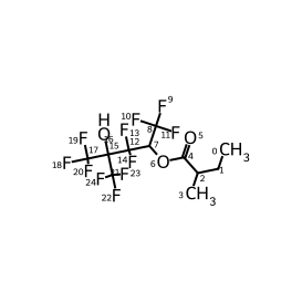 CCC(C)C(=O)OC(C(F)(F)F)C(F)(F)C(O)(C(F)(F)F)C(F)(F)F